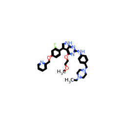 CCN1CCN(Cc2ccc(Nc3nc(OCCOC)c4c(-c5ccc(OCc6ccccn6)cc5F)c[nH]c4n3)cc2)CC1